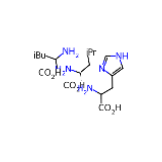 CC(C)CC(N)C(=O)O.CCC(C)C(N)C(=O)O.NC(Cc1c[nH]cn1)C(=O)O